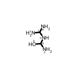 NC(N)NC(N)O